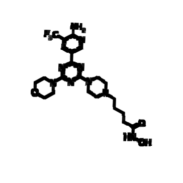 Nc1ncc(-c2nc(N3CCOCC3)nc(N3CCN(CCCCC(=O)NO)CC3)n2)cc1C(F)(F)F